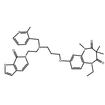 CCN1C(=O)C(C)(C)C(=O)N(C)c2cc(OCCCN(CCn3ccc4ccsc4c3=O)Cc3cccnc3C)ccc21